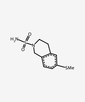 CSc1ccc2c(c1)CCN(S(N)(=O)=O)C2